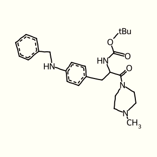 CN1CCN(C(=O)C(Cc2ccc(NCc3ccccc3)cc2)NC(=O)OC(C)(C)C)CC1